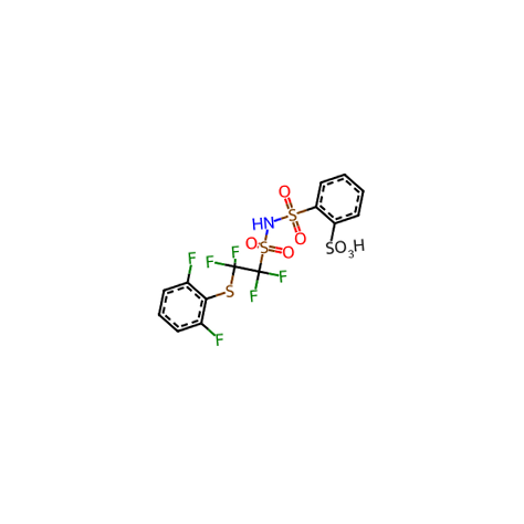 O=S(=O)(O)c1ccccc1S(=O)(=O)NS(=O)(=O)C(F)(F)C(F)(F)Sc1c(F)cccc1F